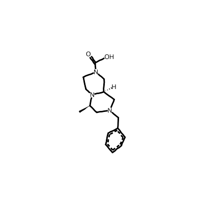 C[C@@H]1CN(Cc2ccccc2)C[C@@H]2CN(C(=O)O)CCN21